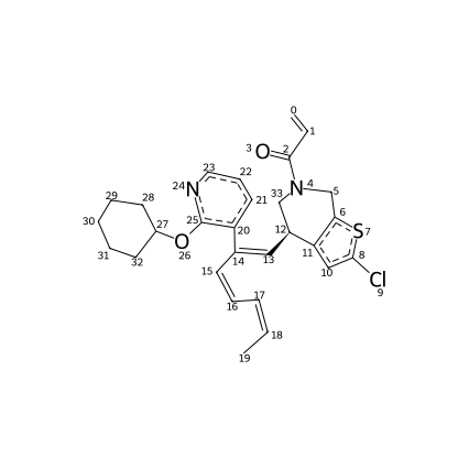 C=CC(=O)N1Cc2sc(Cl)cc2[C@@H](/C=C(/C=C\C=C/C)c2cccnc2OC2CCCCC2)C1